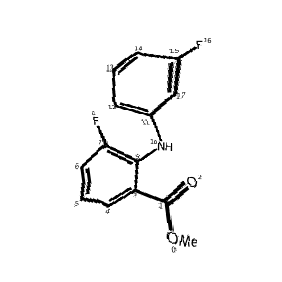 COC(=O)c1cccc(F)c1Nc1cccc(F)c1